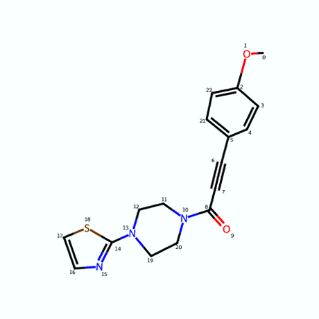 COc1ccc(C#CC(=O)N2CCN(c3nccs3)CC2)cc1